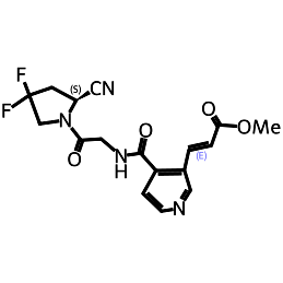 COC(=O)/C=C/c1cnccc1C(=O)NCC(=O)N1CC(F)(F)C[C@H]1C#N